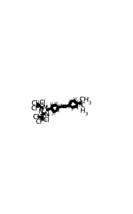 CC(C)c1ccc(C#Cc2ccc(-c3nc(C(Cl)(Cl)Cl)nc(C(Cl)(Cl)Cl)n3)cc2)cc1